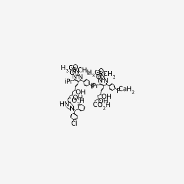 CC(C)c1nc(N(C)S(C)(=O)=O)nc(-c2ccc(F)cc2)c1C=C[C@@H](O)C[C@@H](O)CC(=O)O.CC(C)c1nc(N(C)S(C)(=O)=O)nc(-c2ccc(F)cc2)c1C=C[C@@H](O)C[C@@H](O)CC(=O)O.Clc1ccc(C(c2ccccc2)N2CCNCC2)cc1.[CaH2]